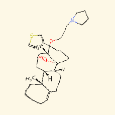 C[C@]12CCCC=C1CC[C@@H]1[C@H]2CC[C@]2(C)C(OCCN3CCCC3)(c3ccsc3)CC[C@@]12O